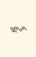 CN(C)c1cccc(C2Oc3ccc(-c4ccccc4S(N)(=O)=O)cc3O2)c1